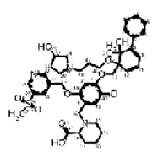 CC1(C)C(c2ccccc2)=CC=CC1(COc1cc(OCc2cncc(S(C)(=O)=O)c2)c(CN2CCCC[C@H]2C(=O)O)cc1Cl)OCCCN1CC[C@@H](O)C1